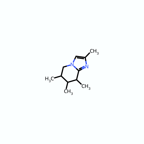 Cc1cn2c(n1)C(C)C(C)C(C)C2